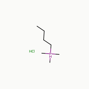 CCCC[PH](C)(C)C.Cl